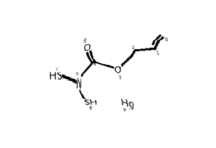 C=CCOC(=O)N(S)S.[Hg]